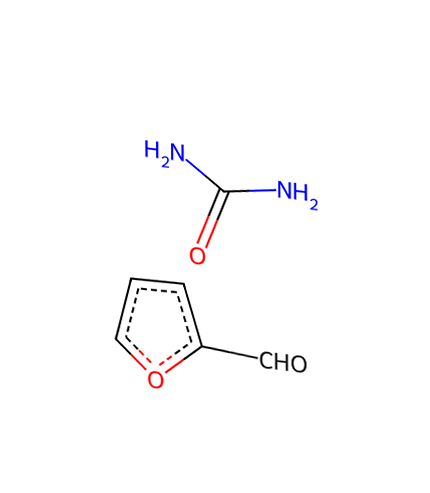 NC(N)=O.O=Cc1ccco1